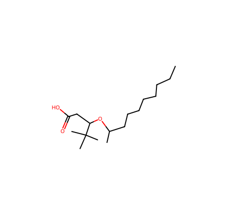 CCCCCCCCC(C)OC(CC(=O)O)C(C)(C)C